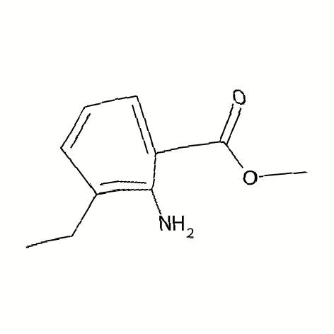 CCc1cccc(C(=O)OC)c1N